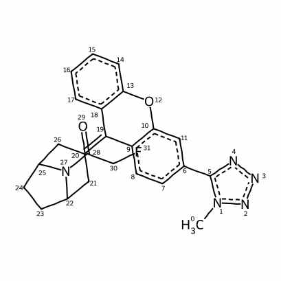 Cn1nnnc1-c1ccc2c(c1)Oc1ccccc1C2=C1CC2CCC(C1)N2C(=O)CF